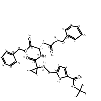 CC(C)(C)OC(=O)c1ccc(CNC2(C(=O)N[C@@H](CC(=O)OCc3ccccc3)C(=O)OCc3ccccc3)CC2)s1